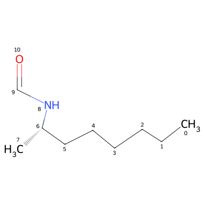 CCCCCC[C@H](C)NC=O